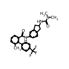 Cc1cccc(C(=O)Nc2ccc3c(c2)CC(NC(=O)N(C)C)C3)c1-c1ccc(C(F)(F)F)cc1